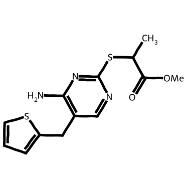 COC(=O)C(C)Sc1ncc(Cc2cccs2)c(N)n1